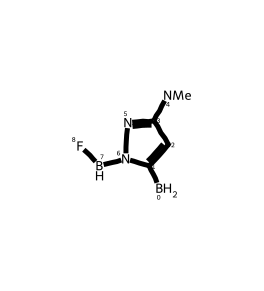 Bc1cc(NC)nn1BF